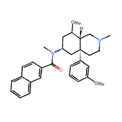 COc1cccc([C@@]23CCN(C)C[C@H]2C(OC)C[C@H](N(C)C(=O)c2ccc4ccccc4c2)C3)c1